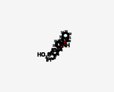 CC(C)C[C@@H](C=CCC(=O)NC1CC2CCCC(C1)N2Cc1ccccc1)N(C(=O)O)C(C)(C)C